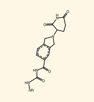 CCCNC(=O)NC(=O)c1ccc2c(c1)CN(C1CCC(=O)NC1=O)C2